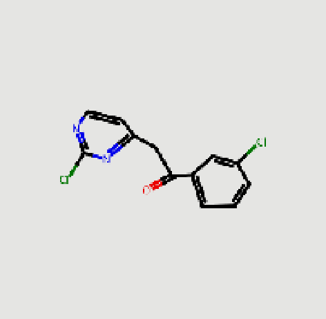 O=C(Cc1ccnc(Cl)n1)c1cccc(Cl)c1